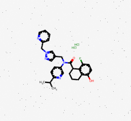 CC(C)c1ccc(N(Cc2cnn(Cc3ccccn3)c2)C(=O)C2CCCc3c(O)ccc(F)c32)cn1.Cl.Cl